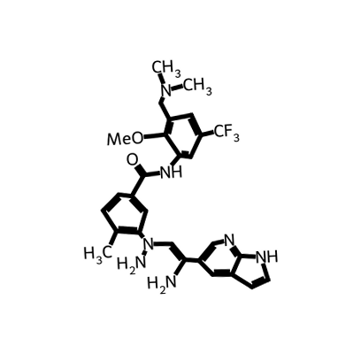 COc1c(CN(C)C)cc(C(F)(F)F)cc1NC(=O)c1ccc(C)c(N(N)/C=C(\N)c2cnc3[nH]ccc3c2)c1